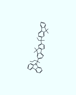 CCCC(C)(c1ccc2c(c1)C(C)(C)c1cc(C(C)(CC)c3ccc4c(c3)C(C)(C)c3ccccc3-4)ccc1-2)n1c2ccccc2c2ccccc21